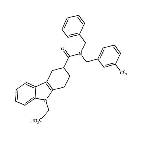 O=C(O)Cn1c2c(c3ccccc31)CC(C(=O)N(Cc1ccccc1)Cc1cccc(C(F)(F)F)c1)CC2